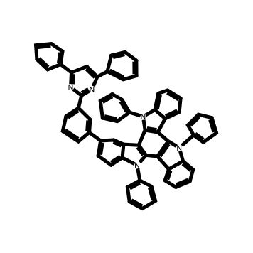 c1ccc(-c2cc(-c3ccccc3)nc(-c3cccc(-c4ccc5c(c4)c4c6c(c7ccccc7n6-c6ccccc6)c6c(c7ccccc7n6-c6ccccc6)c4n5-c4ccccc4)c3)n2)cc1